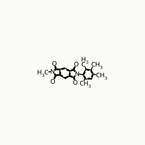 Cc1cc(C)c(-n2c(=O)c3cc4c(=O)n(C)c(=O)c4cc3c2=O)c(C)c1C